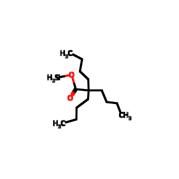 CCCCC(CCCC)(CCCC)C(=O)O[SiH3]